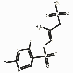 CC(C)(C)S(=O)(=O)CC(N)=NOS(=O)(=O)c1cnc(F)nc1F